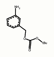 CC(C)(C)OC(=O)OCc1cccc(N)c1